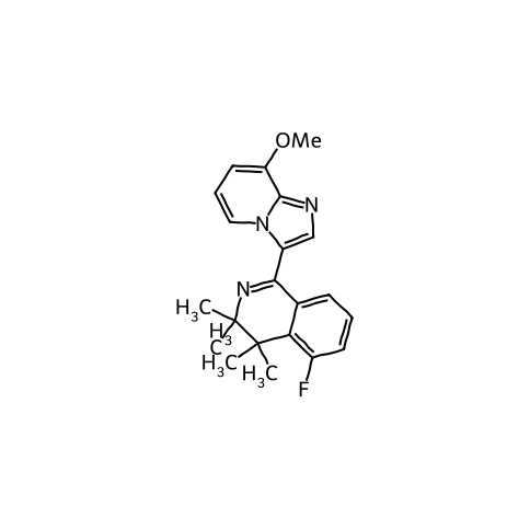 COc1cccn2c(C3=NC(C)(C)C(C)(C)c4c(F)cccc43)cnc12